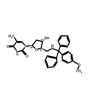 COc1ccc(C(NC[C@H]2O[C@@H](n3cc(C)c(=O)[nH]c3=O)C[C@@H]2O)(c2ccccc2)c2ccccc2)cc1